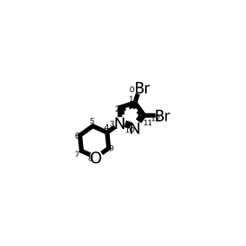 Brc1cn(C2CCCOC2)nc1Br